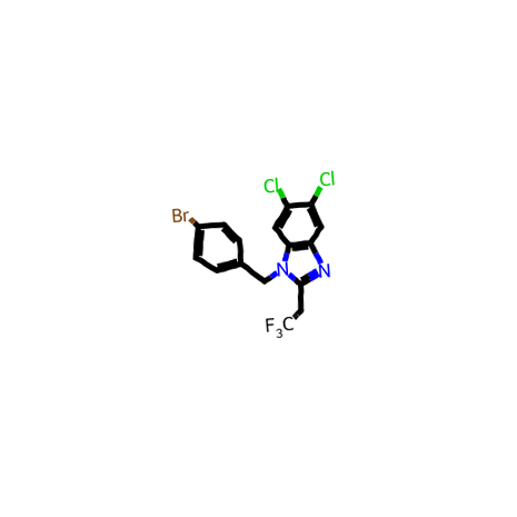 FC(F)(F)Cc1nc2cc(Cl)c(Cl)cc2n1Cc1ccc(Br)cc1